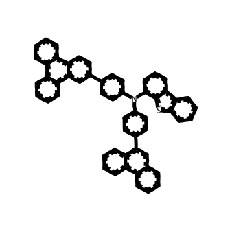 c1ccc2c(c1)cc(-c1ccc(N(c3ccc(-c4ccc5c6ccccc6c6ccccc6c5c4)cc3)c3cccc4c3sc3ccccc34)cc1)c1ccccc12